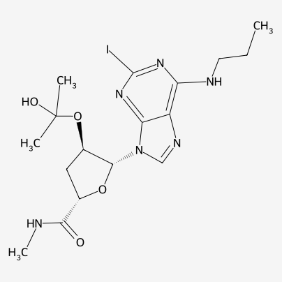 CCCNc1nc(I)nc2c1ncn2[C@@H]1O[C@H](C(=O)NC)C[C@H]1OC(C)(C)O